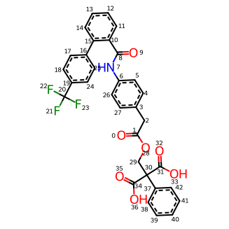 O=C(Cc1ccc(NC(=O)c2ccccc2-c2ccc(C(F)(F)F)cc2)cc1)OCC(C(=O)O)(C(=O)O)c1ccccc1